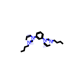 C/C=C\N(/C=N/CCCC)c1cccc(N(/C=C\C)/C=N/CCCC)c1